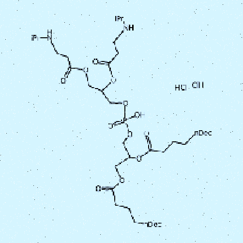 CCCCCCCCCCCCCC(=O)OCC(COP(=O)(O)OCC(COC(=O)CCNC(C)C)OC(=O)CCNC(C)C)OC(=O)CCCCCCCCCCCCC.Cl.Cl